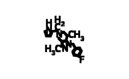 C=C(c1ccc[nH]1)N1Cc2c(C)nn(Cc3ccc(F)cc3)c2C(C)C1